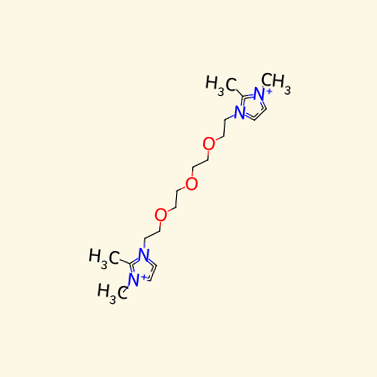 Cc1n(CCOCCOCCOCCn2cc[n+](C)c2C)cc[n+]1C